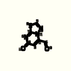 O=Cc1cc(=O)nc2scnn12